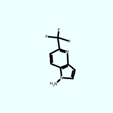 Nn1ccc2nc(C(F)(F)F)ccc21